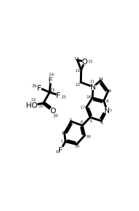 Fc1ccc(-c2cnc3ccn(CC4CO4)c3c2)cc1.O=C(O)C(F)(F)F